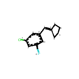 Fc1cc(Cl)cc(C=C2CCCC2)c1